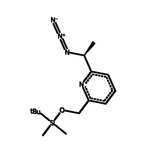 C[C@H](N=[N+]=[N-])c1cccc(CO[Si](C)(C)C(C)(C)C)n1